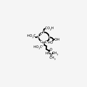 CN(C)NC(=O)CC[C@H](C(=O)O)N1CCN(CC(=O)O)CCN(CC(=O)O)CCN(CC(O)O)CC1